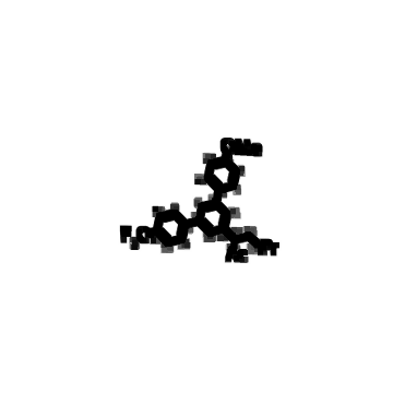 COc1ccc(-c2cc(-c3ccc(C(F)(F)F)cc3)cc([C@@H](CC(C)C)C(C)=O)c2)cc1